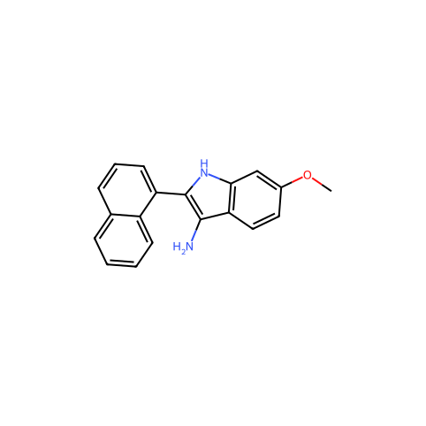 COc1ccc2c(N)c(-c3cccc4ccccc34)[nH]c2c1